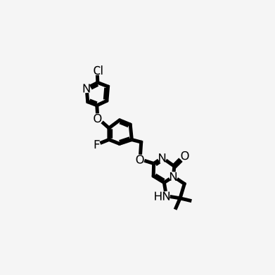 CC1(C)Cn2c(cc(OCc3ccc(Oc4ccc(Cl)nc4)c(F)c3)nc2=O)N1